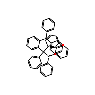 c1ccc(P(c2ccccc2)c2ccccc2C(c2ccccc2)(c2ccccc2)P(c2ccccc2)c2ccccc2)cc1